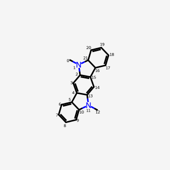 CN1c2cc3c4ccccc4n(C)c3cc2C2C=CC=CC21